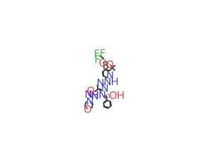 CC1(C)OB(OCC(F)(F)F)c2ccc(Nc3ncc(-c4nc(N5CCOCC5)no4)c(N[C@H](CO)c4ccccc4)n3)nc21